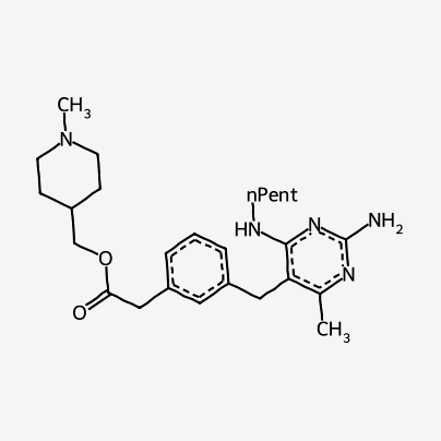 CCCCCNc1nc(N)nc(C)c1Cc1cccc(CC(=O)OCC2CCN(C)CC2)c1